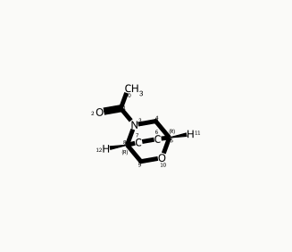 CC(=O)N1C[C@H]2CC[C@@H]1CO2